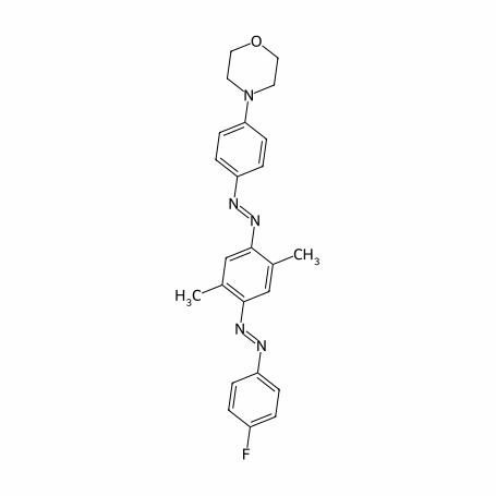 Cc1cc(/N=N/c2ccc(N3CCOCC3)cc2)c(C)cc1/N=N/c1ccc(F)cc1